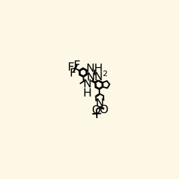 Cc1nc(NC(C)c2cc(N)cc(C(F)(F)F)c2)c2cc(C3=CCN(C(=O)OC(C)(C)C)CC3)c3c(c2n1)CCC3